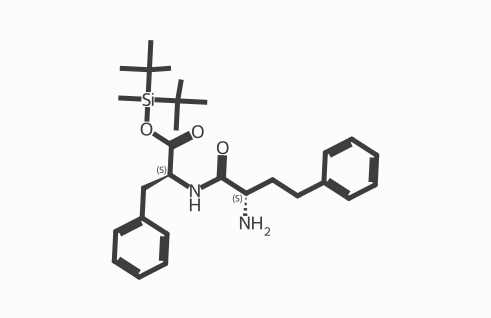 CC(C)(C)[Si](C)(OC(=O)[C@H](Cc1ccccc1)NC(=O)[C@@H](N)CCc1ccccc1)C(C)(C)C